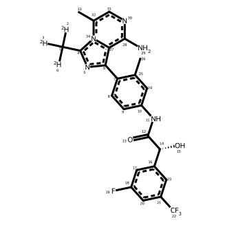 [2H]C([2H])([2H])c1nc(-c2ccc(NC(=O)[C@H](O)c3cc(F)cc(C(F)(F)F)c3)cc2C)c2c(N)ncc(C)n12